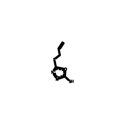 C=CCSc1nnc(S)o1